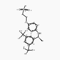 C[C@H](Nc1ncc(OCCS(C)(=O)=O)cn1)c1cc(C(F)(F)F)cc(C(F)(F)F)c1